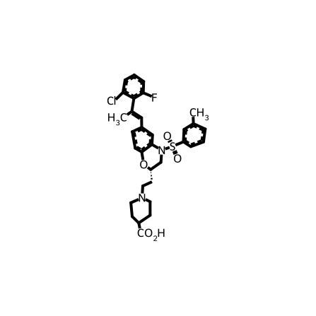 C/C(=C\c1ccc2c(c1)N(S(=O)(=O)c1cccc(C)c1)C[C@H](CCN1CCC(C(=O)O)CC1)O2)c1c(F)cccc1Cl